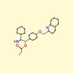 CCC(=O)OC(C(=N)c1ccccc1)c1ccc(OCc2ccc3ccccc3n2)cc1